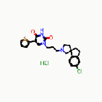 Cl.O=c1[nH]c(=O)n(CCCN2CCC3(CCc4cc(Cl)ccc43)C2)cc1-c1cccs1